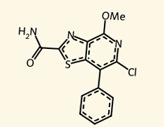 COc1nc(Cl)c(-c2ccccc2)c2sc(C(N)=O)nc12